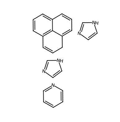 C1=Cc2cccc3cccc(c23)C1.c1c[nH]cn1.c1c[nH]cn1.c1ccncc1